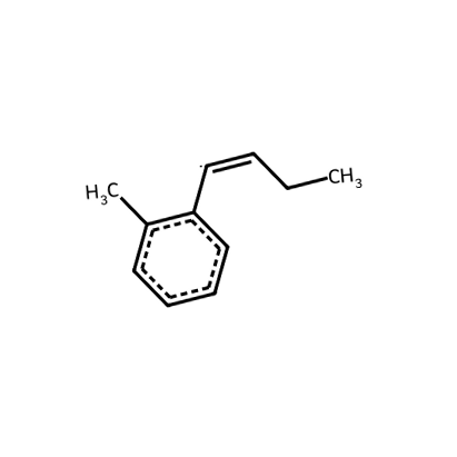 CC/C=[C]\c1ccccc1C